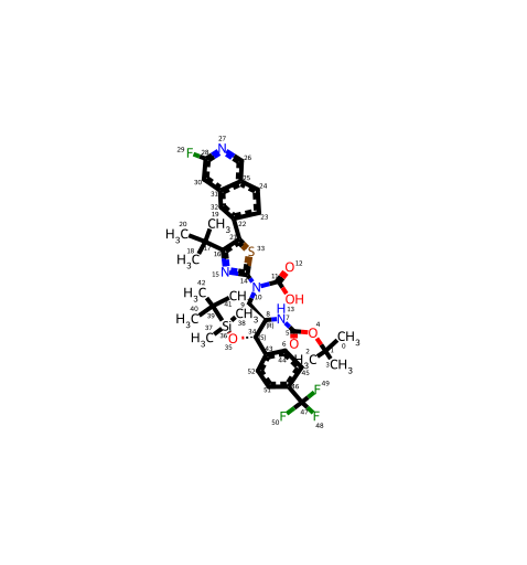 CC(C)(C)OC(=O)N[C@H](CN(C(=O)O)c1nc(C(C)(C)C)c(-c2ccc3cnc(F)cc3c2)s1)[C@@H](O[Si](C)(C)C(C)(C)C)c1ccc(C(F)(F)F)cc1